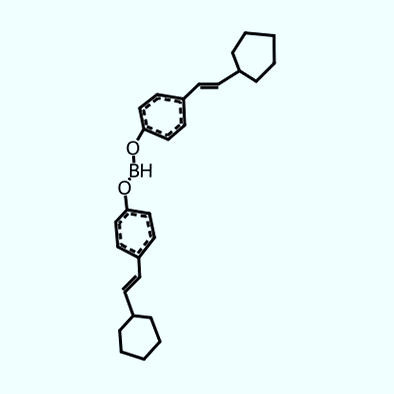 B(Oc1ccc(C=CC2CCCCC2)cc1)Oc1ccc(C=CC2CCCCC2)cc1